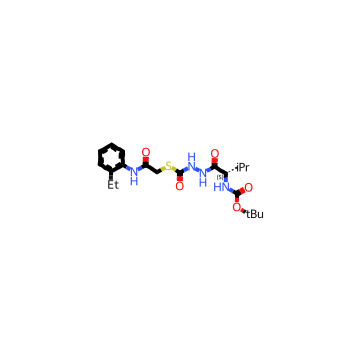 CCc1ccccc1NC(=O)CSC(=O)NNC(=O)[C@@H](NC(=O)OC(C)(C)C)C(C)C